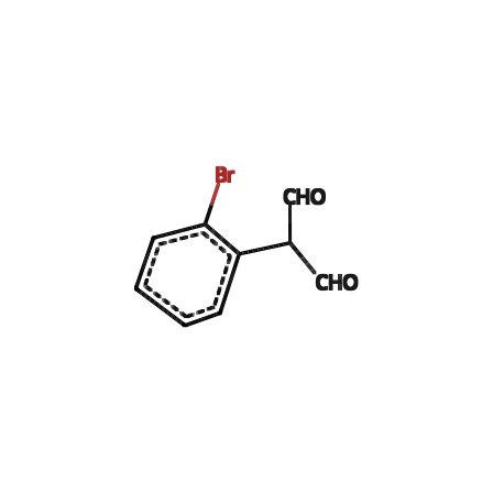 O=CC(C=O)c1ccccc1Br